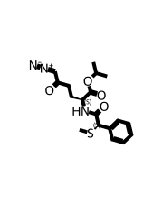 CS[C@H](C(=O)N[C@@H](CCC(=O)C=[N+]=[N-])C(=O)OC(C)C)c1ccccc1